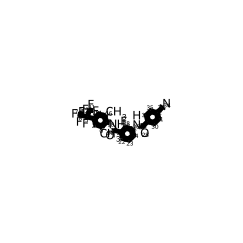 Cc1cc(C(F)(C(F)(F)F)C(F)(F)F)cc(C)c1NC(=O)c1cccc(NC(=O)c2ccc(C#N)cc2)c1F